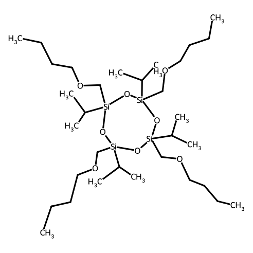 CCCCOC[Si]1(C(C)C)O[Si](COCCCC)(C(C)C)O[Si](COCCCC)(C(C)C)O[Si](COCCCC)(C(C)C)O1